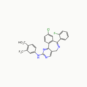 O=C(O)c1ccc(Nc2ncc3c(n2)-c2ccc(Cl)cc2C(c2ccccc2F)=NC3)cc1C(F)(F)F